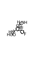 CC(C)(NC(=O)O)c1cc(O[C@@H]2[C@@H]3CNC[C@@H]32)nc(-c2ccc(F)cc2F)c1